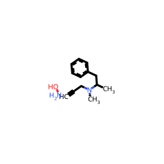 C#CCN(C)C(C)Cc1ccccc1.NO